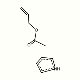 C=CCOC(C)=O.c1cc[nH]c1